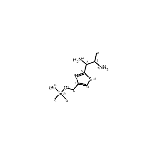 CC(N)C(N)c1nc(CO[Si](C)(C)C(C)(C)C)cs1